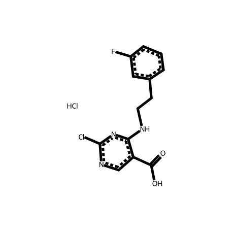 Cl.O=C(O)c1cnc(Cl)nc1NCCc1cccc(F)c1